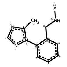 Cc1ncnn1-c1ccccc1CNF